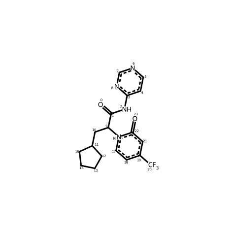 O=C(Nc1ccncn1)C(CC1CCCC1)n1ccc(C(F)(F)F)cc1=O